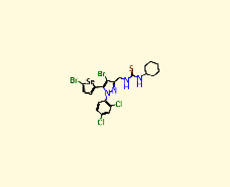 S=C(NCc1nn(-c2ccc(Cl)cc2Cl)c(-c2ccc(Br)[se]2)c1Br)NC1CCCCC1